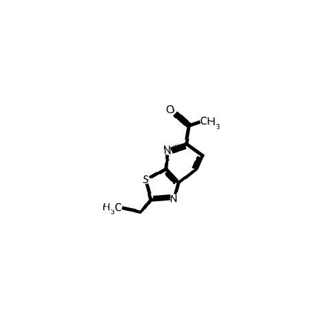 CCc1nc2ccc(C(C)=O)nc2s1